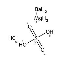 Cl.O=S(=O)(O)O.[BaH2].[MgH2]